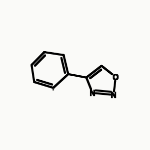 [c]1ccccc1-c1conn1